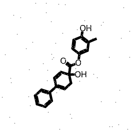 Cc1cc(OC(=O)C2(O)C=CC(c3ccccc3)=CC2)ccc1O